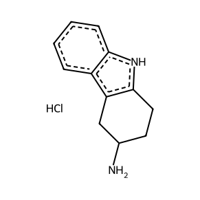 Cl.NC1CCc2[nH]c3ccccc3c2C1